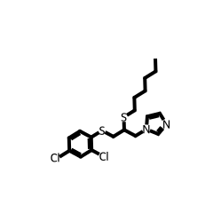 CCCCCCSC(CSc1ccc(Cl)cc1Cl)Cn1ccnc1